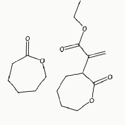 C=C(C(=O)OCC)C1CCCCOC1=O.O=C1CCCCCO1